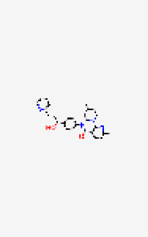 Cc1ccc(C(=O)Nc2ccc(C(O)CCc3ccccn3)cc2)c(N2CCC(C)CC2)n1